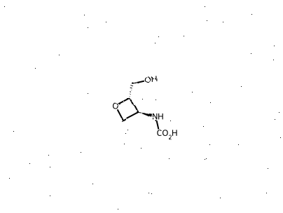 O=C(O)N[C@H]1CO[C@@H]1CO